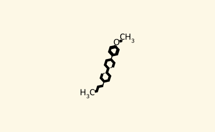 CCCC[C@H]1CC[C@H]([C@H]2CC[C@H](c3ccc(OCC)cc3)CC2)CC1